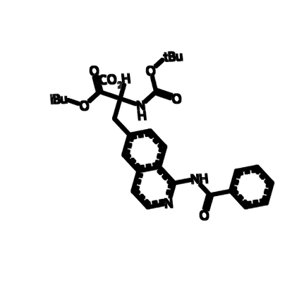 CCC(C)OC(=O)C(Cc1ccc2c(NC(=O)c3ccccc3)nccc2c1)(NC(=O)OC(C)(C)C)C(=O)O